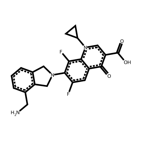 NCc1cccc2c1CN(c1c(F)cc3c(=O)c(C(=O)O)cn(C4CC4)c3c1F)C2